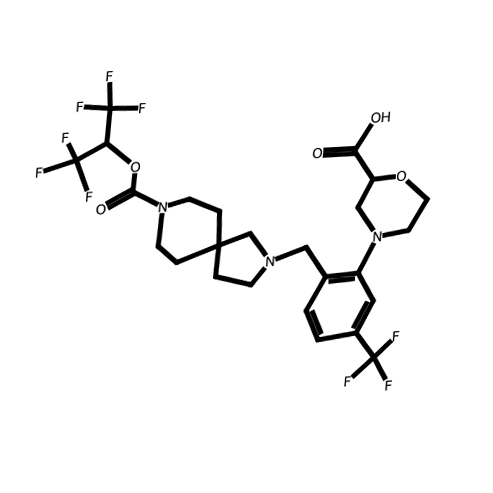 O=C(O)C1CN(c2cc(C(F)(F)F)ccc2CN2CCC3(CCN(C(=O)OC(C(F)(F)F)C(F)(F)F)CC3)C2)CCO1